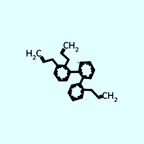 C=CCc1ccccc1-c1ccc[c]c1-c1cccc(CC=C)c1CC=C